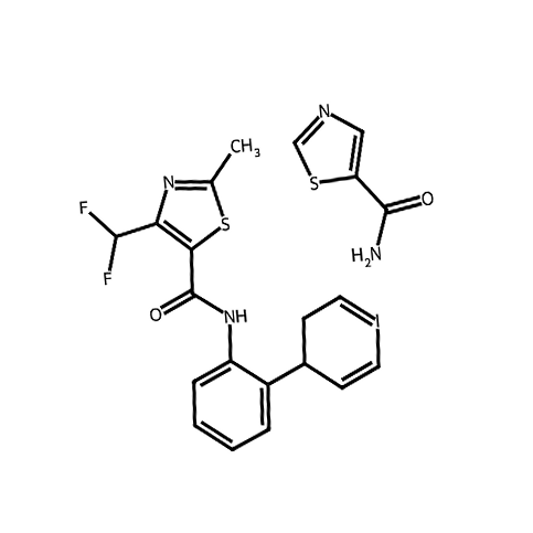 Cc1nc(C(F)F)c(C(=O)Nc2ccccc2C2C=CI=CC2)s1.NC(=O)c1cncs1